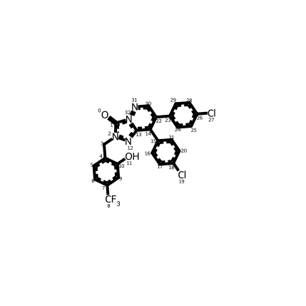 O=c1n(Cc2ccc(C(F)(F)F)cc2O)nc2c(-c3ccc(Cl)cc3)c(-c3ccc(Cl)cc3)cnn12